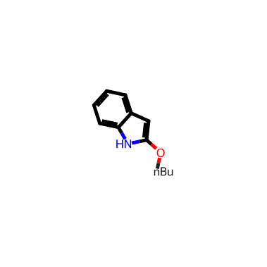 CCCCOc1cc2ccccc2[nH]1